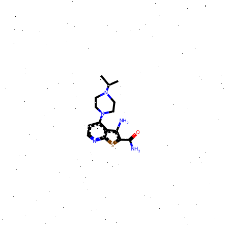 CC(C)N1CCN(c2ccnc3sc(C(N)=O)c(N)c23)CC1